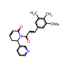 COc1cc(/C=C/C(=O)N2C(=O)C=CCC2c2cccnc2)cc(C)c1C